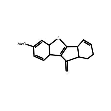 COC1=CC2SC3=C(C(=O)C4CCC=CC34)C2C=C1